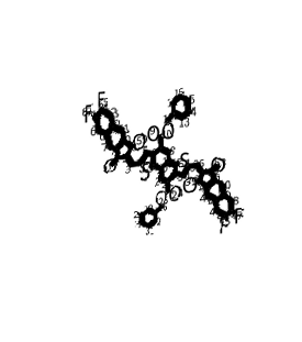 O=C1C(=Cc2cc3c(C(=O)OCc4ccccc4)cc4c(cc(C(=O)OCc5ccccc5)c5cc(C=C6C(=O)c7cc8cc(F)c(F)cc8cc7C6=O)sc54)c3s2)C(=O)c2cc3cc(F)c(F)cc3cc21